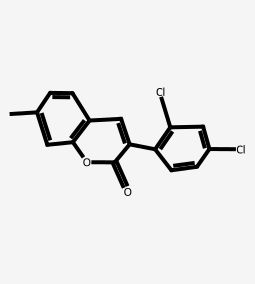 Cc1ccc2cc(-c3ccc(Cl)cc3Cl)c(=O)oc2c1